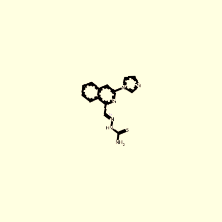 NC(=S)N/N=C/c1nc(-n2ccnc2)cc2ccccc12